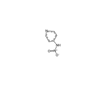 O=[N+]([O-])Nc1ccncc1